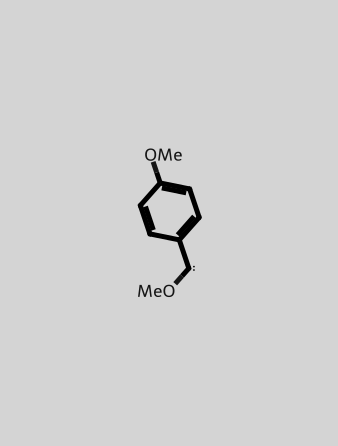 CO[C]c1ccc(OC)cc1